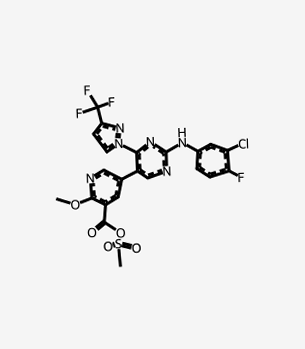 COc1ncc(-c2cnc(Nc3ccc(F)c(Cl)c3)nc2-n2ccc(C(F)(F)F)n2)cc1C(=O)OS(C)(=O)=O